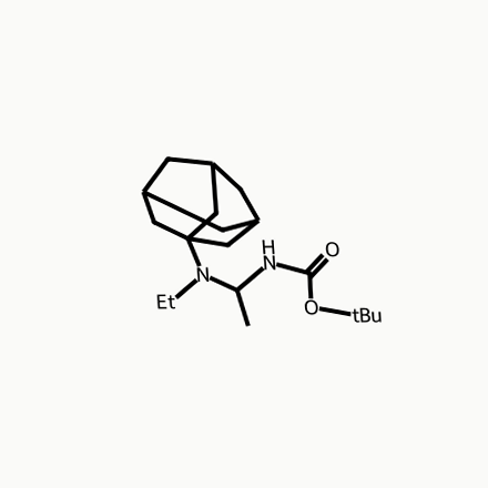 CCN(C(C)NC(=O)OC(C)(C)C)C12CC3CC(CC(C3)C1)C2